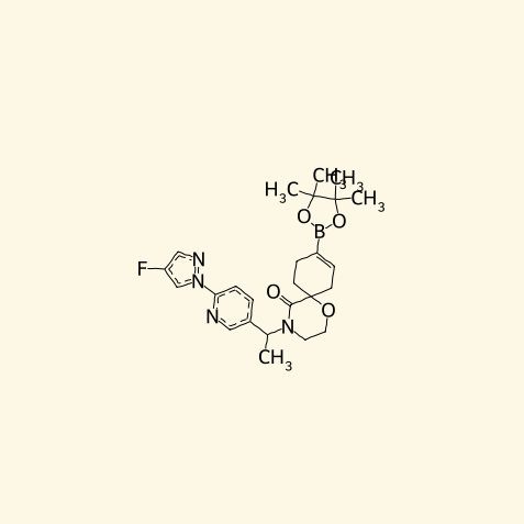 CC(c1ccc(-n2cc(F)cn2)nc1)N1CCOC2(CC=C(B3OC(C)(C)C(C)(C)O3)CC2)C1=O